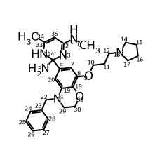 CNC1=NC(N)(c2cc(OCCCN3CCCC3)c3c(c2)N(Cc2ccccc2)CCO3)NC(C)=C1